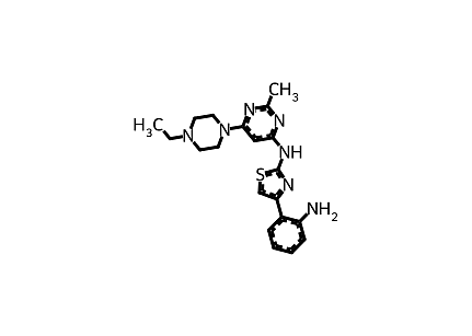 CCN1CCN(c2cc(Nc3nc(-c4ccccc4N)cs3)nc(C)n2)CC1